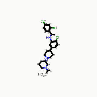 CC(Nc1cc(C2CCN(C3CCCN(C(C)C(=O)O)C3)CC2)ccc1Cl)c1ccc(Cl)cc1Cl